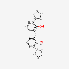 Oc1c(Cc2cccc(C3CCCC3)c2O)cccc1C1CCCC1